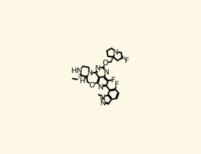 CC[C@@H]1NCCN2c3nc(OC[C@@]45CCCN4C[C@H](F)C5)nc4c(F)c(-c5c(F)ccc6cnn(C)c56)nc(c34)OC[C@H]12